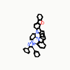 c1ccc(-c2nnn(-c3cccc4c5ccccc5n(-c5ccccc5-n5c6ccccc6c6c7oc8ccccc8c7ccc65)c34)c2-c2ccccc2)cc1